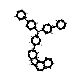 c1ccc(-c2ccc(N(c3ccc(-c4ccccc4)cc3)c3ccc(-c4ccc5sc6ccc7ccccc7c6c5c4)cc3)cc2)cc1